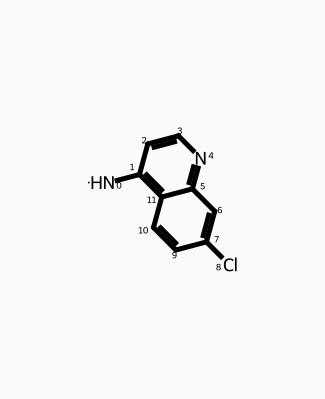 [NH]c1ccnc2cc(Cl)ccc12